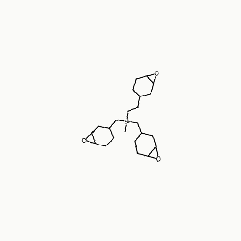 C[Si](CCC1CCC2OC2C1)(CC1CCC2OC2C1)CC1CCC2OC2C1